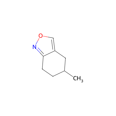 CC1CCc2nocc2C1